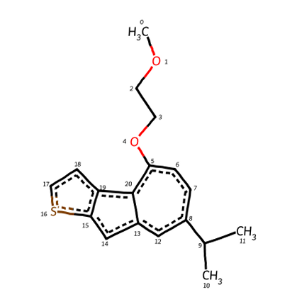 COCCOc1ccc(C(C)C)cc2cc3sccc3c1-2